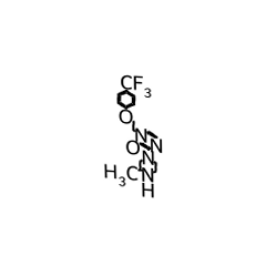 CC1CN(c2nccn(CCOc3ccc(C(F)(F)F)cc3)c2=O)CCN1